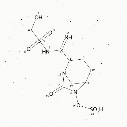 N=C(NS(=O)(=O)CO)C1CCC2CN1C(=O)N2OS(=O)(=O)O